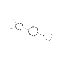 Cc1cn(-c2ccc(C3OCCO3)cc2)nc1C